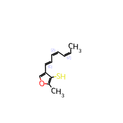 C\C=C/C=C\C=C\c1coc(C)c1S